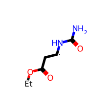 CCOC(=O)C[CH]NC(N)=O